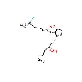 CCCCC(O)C=C[C@H]1CC[C@H](O)[C@@H]1CCCCCC(C)F